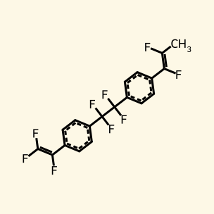 C/C(F)=C(\F)c1ccc(C(F)(F)C(F)(F)c2ccc(C(F)=C(F)F)cc2)cc1